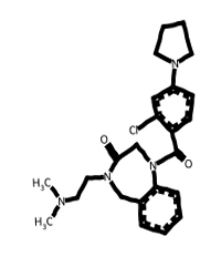 CN(C)CCN1Cc2ccccc2N(C(=O)c2ccc(N3CCCC3)cc2Cl)CC1=O